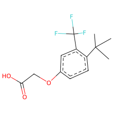 CC(C)(C)c1ccc(OCC(=O)O)cc1C(F)(F)F